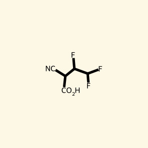 N#CC(C(=O)O)C(F)C(F)F